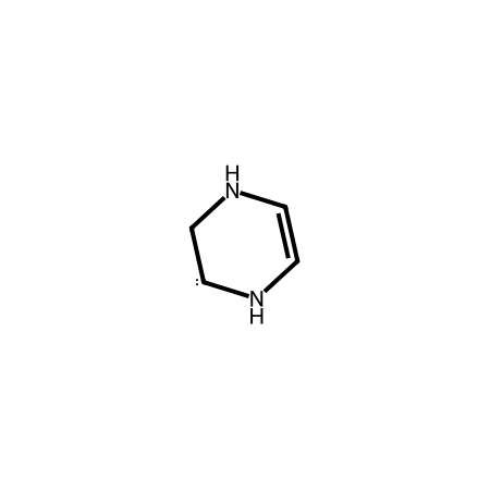 [C]1CNC=CN1